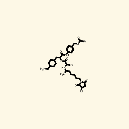 CCC1CC(=O)N(CCCCCC(NC(C(=O)NC(CC2CCC(CN)CC2)C(=O)Nc2ccc(COC(=O)C(C)C)cc2)C(C)C)C(F)(F)F)C1=O